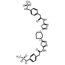 CS(=O)(=O)Nc1ccc(CC(=O)Nc2nnc([C@H]3CCC[C@H](c4nnc(NC(=O)Cc5ccc(NS(C)(=O)=O)cc5)s4)C3)s2)cc1